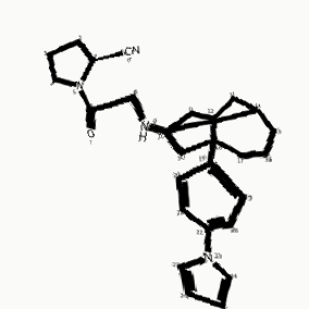 N#C[C@@H]1CCCN1C(=O)CNC12CC3CC1CCCC3(c1ccc(-n3cccc3)cc1)C2